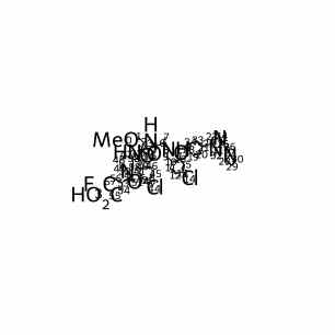 COCC(NC(=O)C(C)NCc1ccc(Cl)cc1Oc1ccc(-c2cnc(CN3CCC3)n2C)cc1)C(=O)NC1(Cc2ccc(Cl)cc2)CCCN(C(=O)C(CC(=O)O)CC(F)(F)F)C1